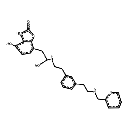 O=c1[nH]c2c(O)ccc(CC(O)NCCc3cccc(CCNCc4ccccn4)c3)c2s1